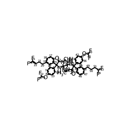 CN1C(=O)C(c2ccc(OC(F)F)cc2)(c2cccc(CCC=C(F)F)c2)NC1(N)C1(N)NC(c2ccc(OC(F)F)cc2)(c2cccc(CCCC(F)F)c2)C(=O)N1C